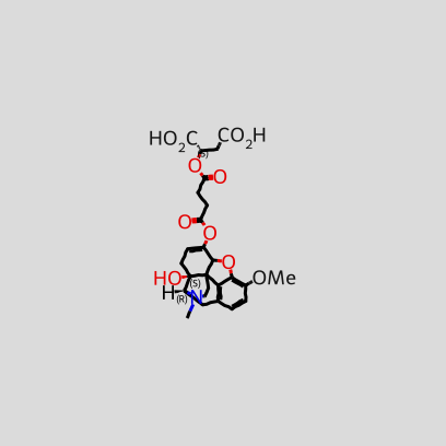 COc1ccc2c3c1OC1C(OC(=O)CCC(=O)O[C@@H](CC(=O)O)C(=O)O)=CC[C@@]4(O)[C@@H](C2)N(C)CCC314